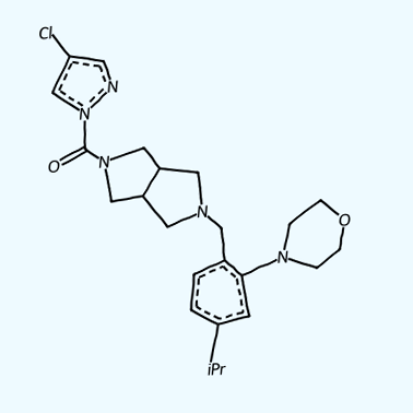 CC(C)c1ccc(CN2CC3CN(C(=O)n4cc(Cl)cn4)CC3C2)c(N2CCOCC2)c1